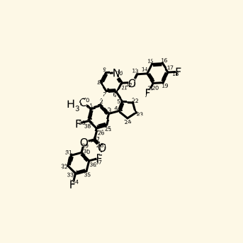 Cc1cc(C2=C(c3cccnc3OCc3ccc(F)cc3F)CCC2)cc(C(=O)Oc2ccc(F)cc2F)c1F